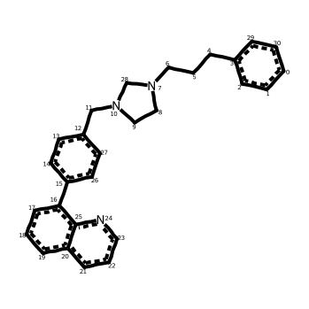 c1ccc(CCCN2CCN(Cc3ccc(-c4cccc5cccnc45)cc3)C2)cc1